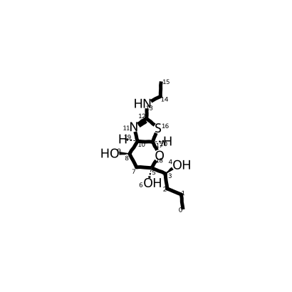 CCC[C@H](O)[C@@]1(O)C[C@@H](O)[C@H]2N=C(NCC)S[C@H]2O1